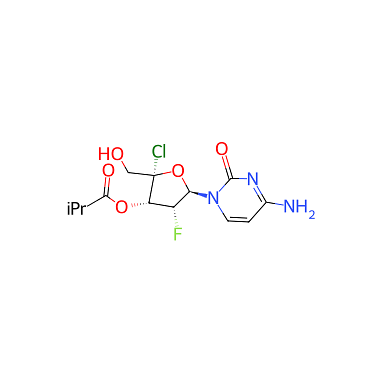 CC(C)C(=O)O[C@H]1[C@@H](F)[C@H](n2ccc(N)nc2=O)O[C@]1(Cl)CO